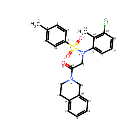 Cc1ccc(S(=O)(=O)N(CC(=O)N2CCc3ccccc3C2)c2cccc(Cl)c2C)cc1